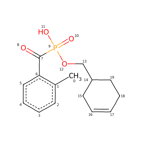 Cc1ccccc1C(=O)P(=O)(O)OCC1CC=CCC1